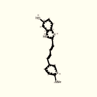 CNc1ccc(/C=C/C=C/c2nc3ccc(O)cc3[nH]2)cn1